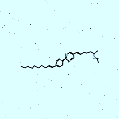 CCCCCCCCC=Cc1ccc(-c2ncc(C=CCCCC(C)OCC)cn2)cc1